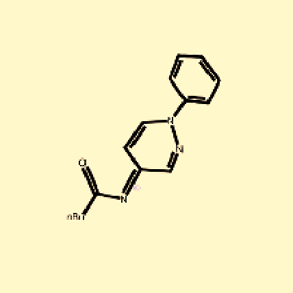 CCCCC(=O)/N=c1\ccn(-c2ccccc2)nc1